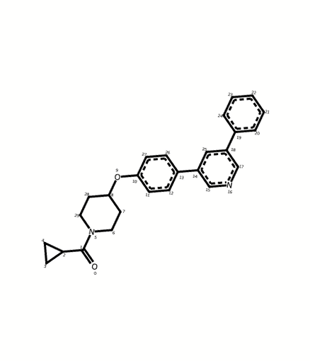 O=C(C1CC1)N1CCC(Oc2ccc(-c3cncc(-c4ccccc4)c3)cc2)CC1